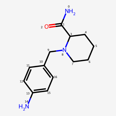 NC(=O)C1CCCCN1Cc1ccc(N)cc1